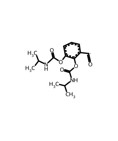 CC(C)NC(=O)Oc1cccc([C]=O)c1OC(=O)NC(C)C